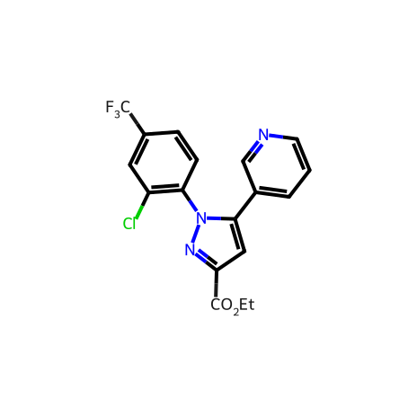 CCOC(=O)c1cc(-c2cccnc2)n(-c2ccc(C(F)(F)F)cc2Cl)n1